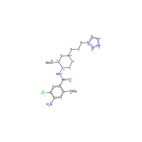 COc1cc(N)c(Cl)cc1C(=O)NC1CCN(CCCn2ccnn2)CC1OC